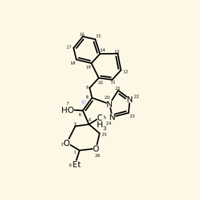 CCC1OCC(C)(/C(O)=C(/Cc2cccc3ccccc23)n2cncn2)CO1